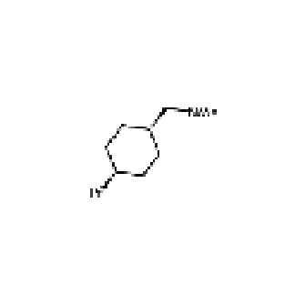 CNC[C@H]1CC[C@@H](C(C)C)CC1